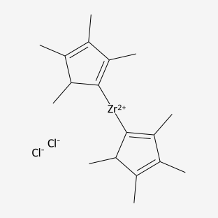 CC1=C(C)C(C)[C]([Zr+2][C]2=C(C)C(C)=C(C)C2C)=C1C.[Cl-].[Cl-]